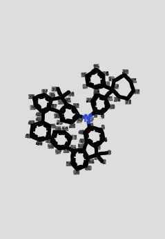 CC1(C)c2ccc(N(c3ccc(C4(c5ccccc5)CCCCCC4)cc3)c3ccc4c(c3)C(C)(C)c3cccc(-c5ccccc5)c3-4)cc2-c2c(-c3ccccc3)cccc21